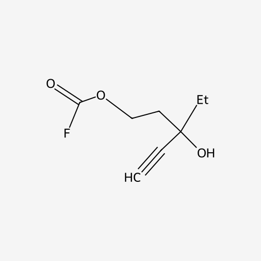 C#CC(O)(CC)CCOC(=O)F